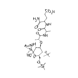 CC(=O)N[C@@H]1[C@@H](OC(C)C(=O)NC(C)C(=O)NC(CCC(=O)O)C(N)=O)[C@H](O[Si](C)(C)C)[C@@H](CO[Si](C)(C)C)OC1(O)[Si](C)(C)C